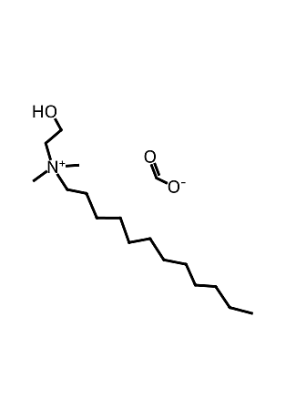 CCCCCCCCCCCC[N+](C)(C)CCO.O=C[O-]